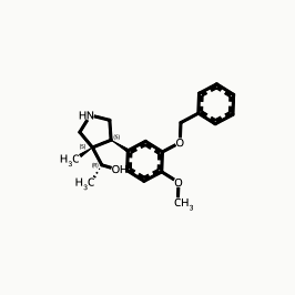 COc1ccc([C@@H]2CNC[C@@]2(C)[C@@H](C)O)cc1OCc1ccccc1